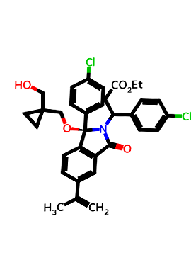 C=C(C)c1ccc2c(c1)C(=O)N(C(CC(=O)OCC)c1ccc(Cl)cc1)[C@@]2(OCC1(CO)CC1)c1ccc(Cl)cc1